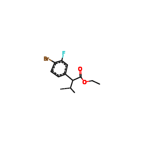 CCOC(=O)C(c1ccc(Br)c(F)c1)C(C)C